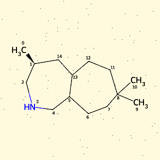 C[C@@H]1CNCC2CCC(C)(C)CCC2C1